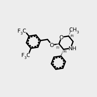 C[C@@H]1CN[C@H](c2ccccc2)[C@@H](OCc2cc(C(F)(F)F)cc(C(F)(F)F)c2)O1